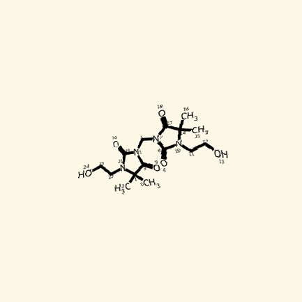 CC1(C)C(=O)N(CN2C(=O)N(CCO)C(C)(C)C2=O)C(=O)N1CCO